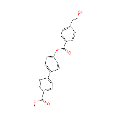 COC(=O)c1ccc(-c2ccc(OC(=O)c3ccc(CCO)cc3)cc2)cc1